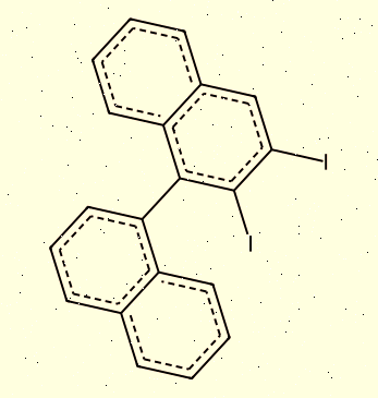 Ic1cc2ccccc2c(-c2cccc3ccccc23)c1I